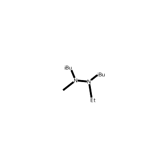 CCC(C)N(C)N(CC)C(C)CC